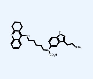 CC(=O)NCCc1c[nH]c2ccc(N(CCCCCNc3c4c(nc5ccccc35)CCCC4)C(=O)O)cc12